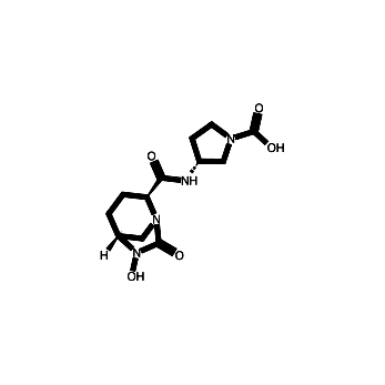 O=C(N[C@@H]1CCN(C(=O)O)C1)[C@@H]1CC[C@@H]2CN1C(=O)N2O